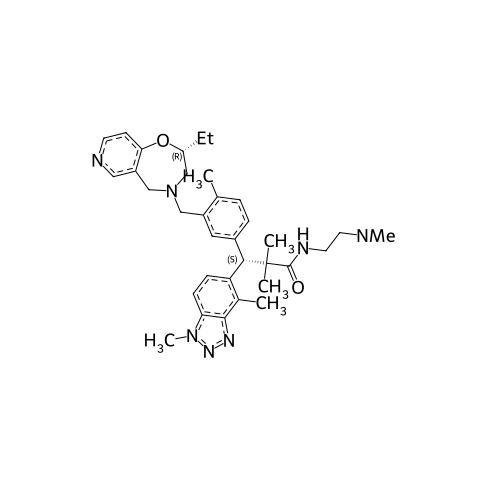 CC[C@@H]1CN(Cc2cc([C@@H](c3ccc4c(nnn4C)c3C)C(C)(C)C(=O)NCCNC)ccc2C)Cc2cnccc2O1